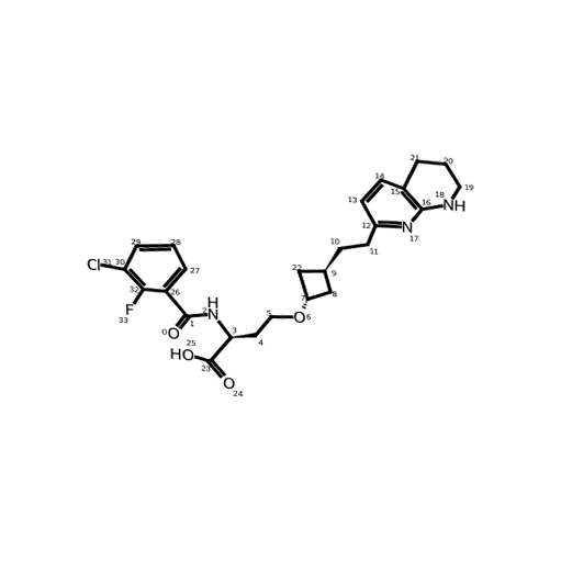 O=C(N[C@@H](CCO[C@H]1C[C@H](CCc2ccc3c(n2)NCCC3)C1)C(=O)O)c1cccc(Cl)c1F